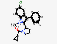 Cn1c(C2CCCN2C(=O)C2CC2)c(-c2ccccc2)c2cc(Cl)ccc21